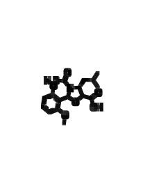 BC(=O)N1C(c2c(OC)cccc2OC)OC(C(=O)O)[C@@H]1CC(C)C